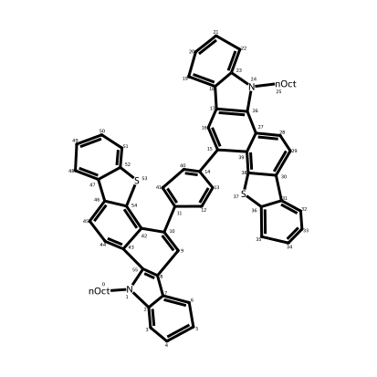 CCCCCCCCn1c2ccccc2c2cc(-c3ccc(-c4cc5c6ccccc6n(CCCCCCCC)c5c5ccc6c7ccccc7sc6c45)cc3)c3c(ccc4c5ccccc5sc43)c21